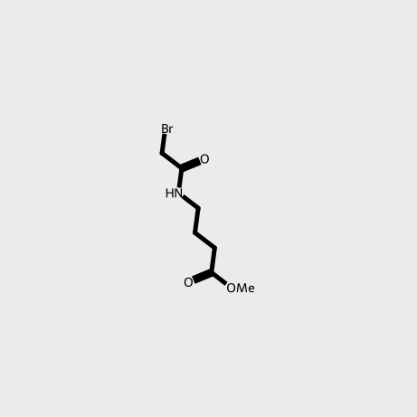 COC(=O)CCCNC(=O)CBr